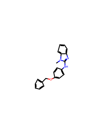 Cn1c(Nc2ccc(OCc3ccccc3)cc2)nc2ccccc21